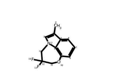 Cc1cn2c3c(cccc13)OCC(F)(F)C2